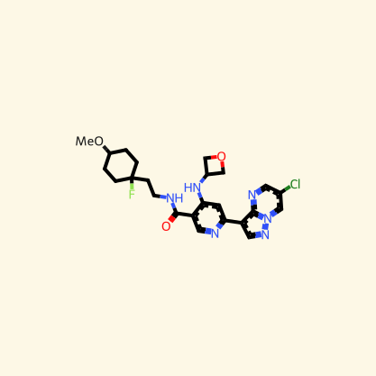 COC1CCC(F)(CCNC(=O)c2cnc(-c3cnn4cc(Cl)cnc34)cc2NC2COC2)CC1